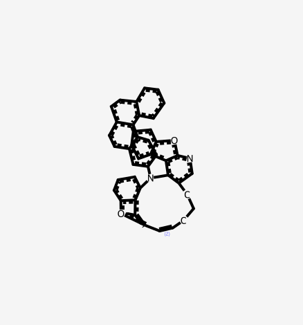 Cc1c2oc3cccc(c13)N(c1ccc3c(ccc4ccc5ccccc5c43)c1)c1c(cnc3oc4ccccc4c13)CCC/C=C\2